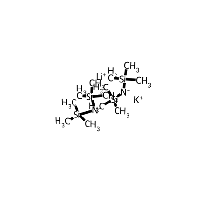 C[Si](C)(C)[N-][Si](C)(C)C.C[Si](C)(C)[N-][Si](C)(C)C.[K+].[Li+]